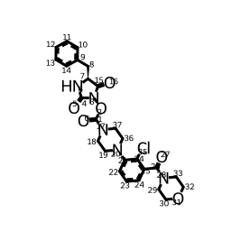 O=C(ON1C(=O)N[C@@H](Cc2ccccc2)C1=O)N1CCN(c2cccc(C(=O)N3CCOCC3)c2Cl)CC1